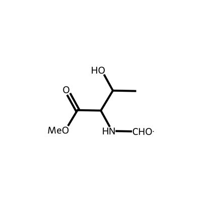 COC(=O)C(N[C]=O)C(C)O